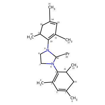 CC1=CC(C)=C(N2CCN(C3=C(C)C=C(C)CC3C)C2C(C)C)C(C)C1